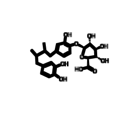 CC(Cc1ccc(O)c(O)c1)C(C)Cc1ccc(O[C@@H]2O[C@H](C(=O)O)[C@@H](O)[C@H](O)[C@H]2O)c(O)c1